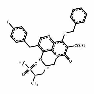 CCOC(=O)c1c(OCc2ccccc2)c2ncc(Cc3ccc(F)cc3)c3c2n(c1=O)C[C@H](CN(C)S(C)(=O)=O)O3